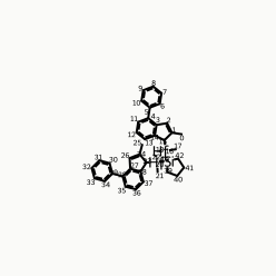 CC1=Cc2c(-c3ccccc3)cccc2[CH]1[Hf]([CH3])([CH3])[Si]1([Hf]([CH3])([CH3])[CH]2C(C)=Cc3c(-c4ccccc4)cccc32)CCCC1